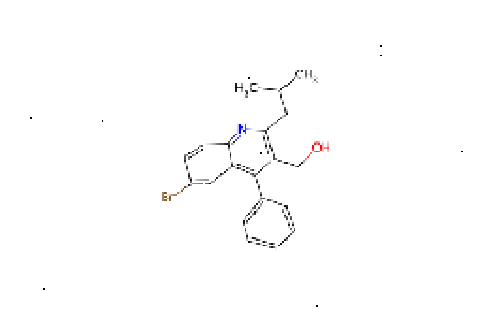 CC(C)Cc1nc2ccc(Br)cc2c(-c2ccccc2)c1CO